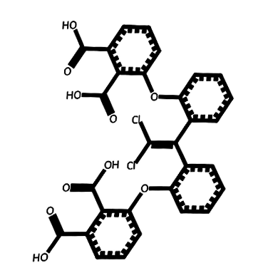 O=C(O)c1cccc(Oc2ccccc2C(=C(Cl)Cl)c2ccccc2Oc2cccc(C(=O)O)c2C(=O)O)c1C(=O)O